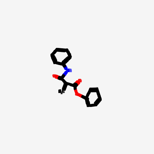 C=C(C(=O)Nc1ccccc1)C(=O)Oc1ccccc1